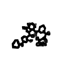 COC(=O)C1OC1C(=O)N1CCCC(Nc2ncnc3[nH]cc(C(=O)c4ccc(Oc5ccccc5)cc4F)c23)C1